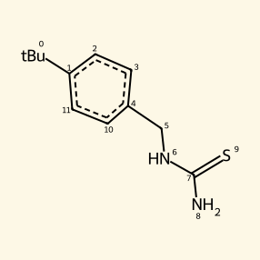 CC(C)(C)c1ccc(CNC(N)=S)cc1